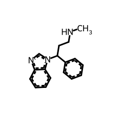 CNCCC(c1ccccc1)n1cnc2ccccc21